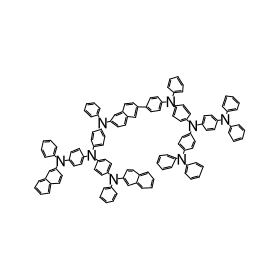 c1ccc(N(c2ccccc2)c2ccc(N(c3ccc(N(c4ccccc4)c4ccccc4)cc3)c3ccc(N(c4ccccc4)c4ccc(-c5ccc6cc(N(c7ccccc7)c7ccc(N(c8ccc(N(c9ccccc9)c9ccc%10ccccc%10c9)cc8)c8ccc(N(c9ccccc9)c9ccc%10ccccc%10c9)cc8)cc7)ccc6c5)cc4)cc3)cc2)cc1